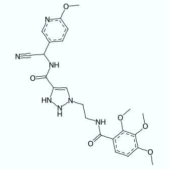 COc1ccc(C(C#N)NC(=O)C2=CN(CCNC(=O)c3ccc(OC)c(OC)c3OC)NN2)cn1